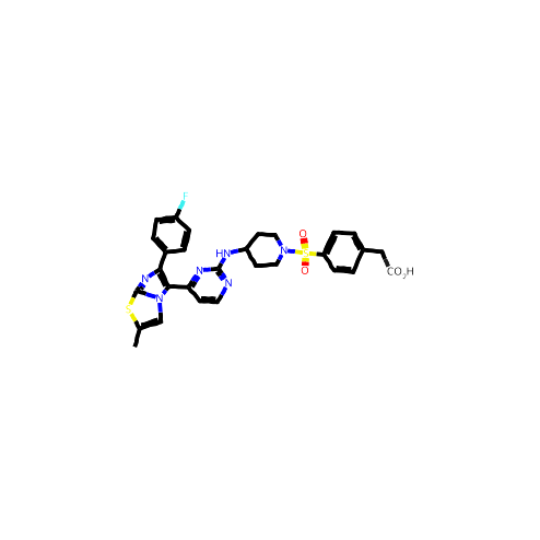 Cc1cn2c(-c3ccnc(NC4CCN(S(=O)(=O)c5ccc(CC(=O)O)cc5)CC4)n3)c(-c3ccc(F)cc3)nc2s1